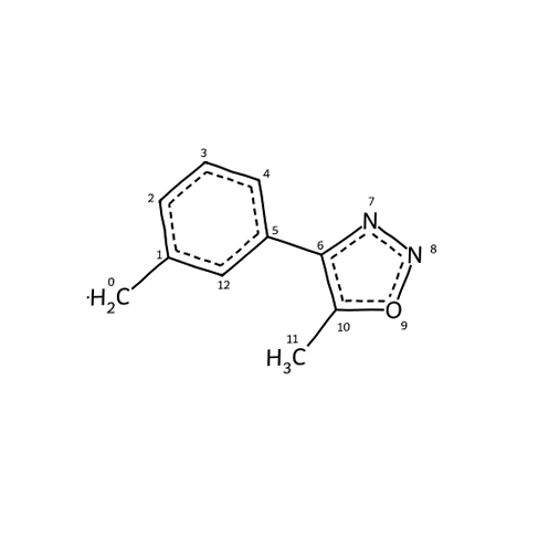 [CH2]c1cccc(-c2nnoc2C)c1